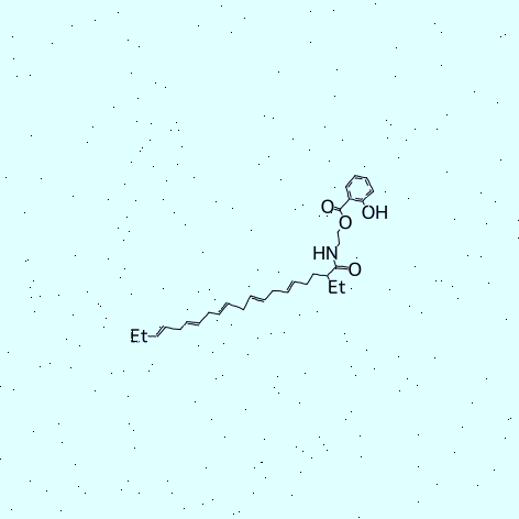 CCC=CCC=CCC=CCC=CCC=CCCC(CC)C(=O)NCCOC(=O)c1ccccc1O